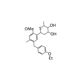 CCOc1ccc(Cc2cc(C3CC(O)C(O)C(C)S3)c(OC)cc2C)cc1